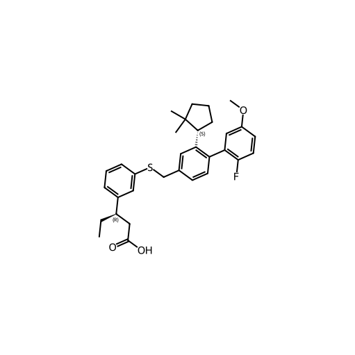 CC[C@H](CC(=O)O)c1cccc(SCc2ccc(-c3cc(OC)ccc3F)c([C@H]3CCCC3(C)C)c2)c1